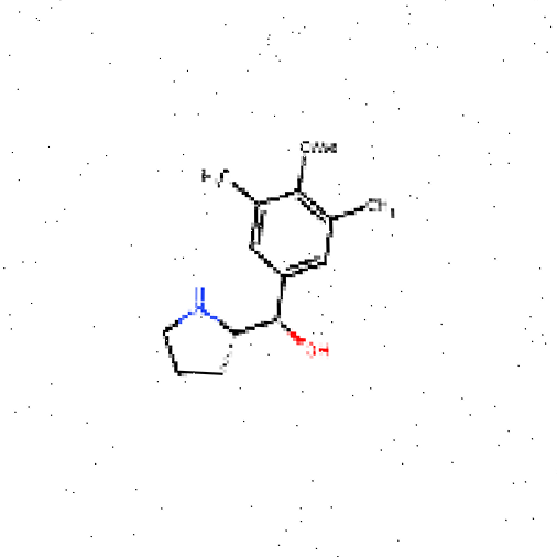 COc1c(C)cc([C@@H](O)[C@@H]2CCCN2)cc1C